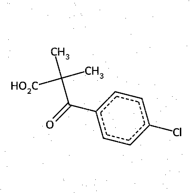 CC(C)(C(=O)O)C(=O)c1ccc(Cl)cc1